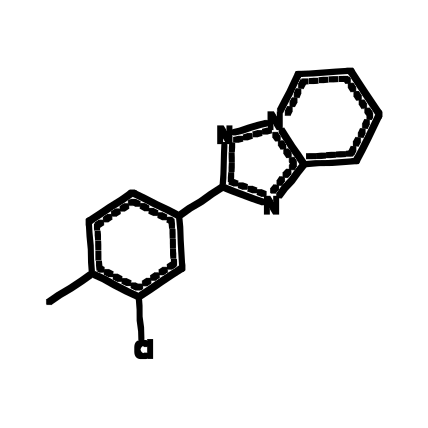 Cc1ccc(-c2nc3ccccn3n2)cc1Cl